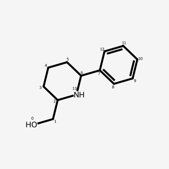 OCC1CCCC(c2ccccc2)N1